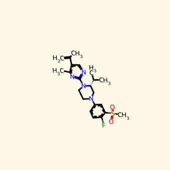 C=C(C)c1cnc(N2CCN(c3ccc(F)c(S(C)(=O)=O)c3)C[C@H]2C(C)C)nc1C